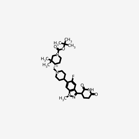 Cn1nc(C2CCC(=O)NC2=O)c2cc(F)c(C3CCN(C[C@H]4CCN(C(=O)OC(C)(C)C)CC4(C)C)CC3)cc21